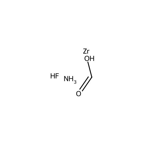 F.N.O=CO.[Zr]